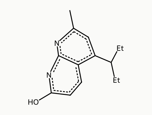 CCC(CC)c1cc(C)nc2nc(O)ccc12